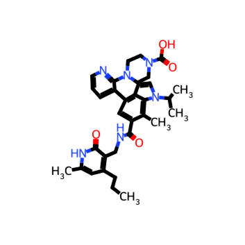 CCCc1cc(C)[nH]c(=O)c1CNC(=O)c1cc(-c2cccnc2N2CCN(C(=O)O)CC2)c2ccn(C(C)C)c2c1C